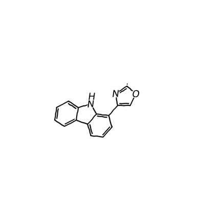 [c]1nc(-c2cccc3c2[nH]c2ccccc23)co1